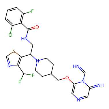 N=Cn1c(OCC2CCN(C(CNC(=O)c3c(F)cccc3Cl)c3scnc3C(F)F)CC2)cncc1=N